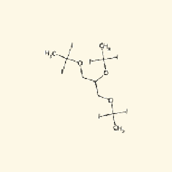 CC(I)(I)OCC(COC(C)(I)I)OC(C)(I)I